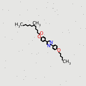 CCCCCCOc1ccc(-c2ncc(-c3ccc(OC(=O)CCCCC(C)CCCCCC)cc3)cn2)cc1